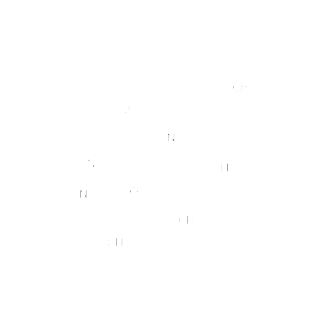 CCCN(C(=O)c1nnc(C)o1)C(C)CC